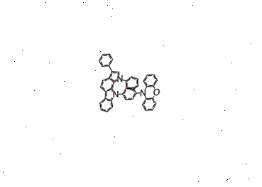 c1ccc(-c2cn(-c3ccccc3)c3c2ccc2c4ccccc4n(-c4ccc(N5c6ccccc6Oc6ccccc65)cc4)c23)cc1